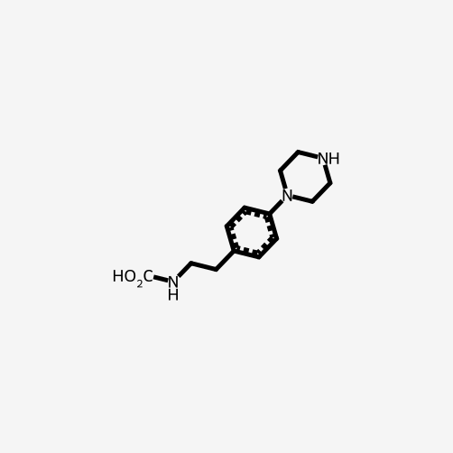 O=C(O)NCCc1ccc(N2CCNCC2)cc1